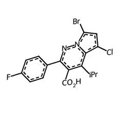 CC(C)c1c(C(=O)O)c(-c2ccc(F)cc2)nn2c(Br)cc(Cl)c12